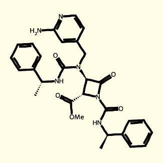 COC(=O)[C@@H]1[C@@H](N(Cc2ccnc(N)c2)C(=O)N[C@H](C)c2ccccc2)C(=O)N1C(=O)N[C@H](C)c1ccccc1